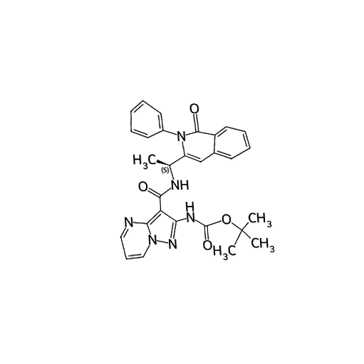 C[C@H](NC(=O)c1c(NC(=O)OC(C)(C)C)nn2cccnc12)c1cc2ccccc2c(=O)n1-c1ccccc1